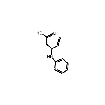 C=C[C@H](CC(=O)O)Nc1ccccn1